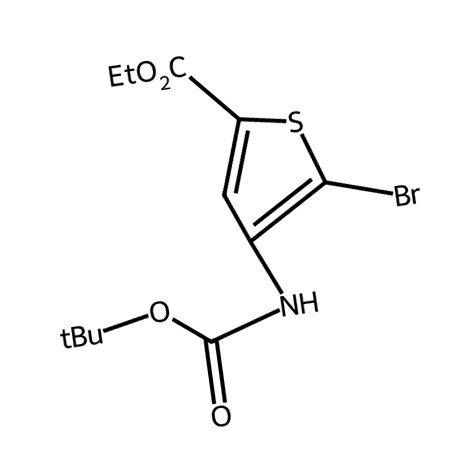 CCOC(=O)c1cc(NC(=O)OC(C)(C)C)c(Br)s1